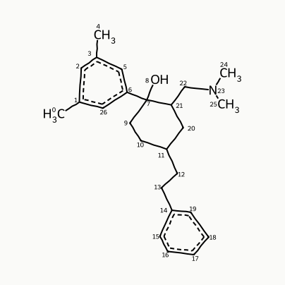 Cc1cc(C)cc(C2(O)CCC(CCc3ccccc3)CC2CN(C)C)c1